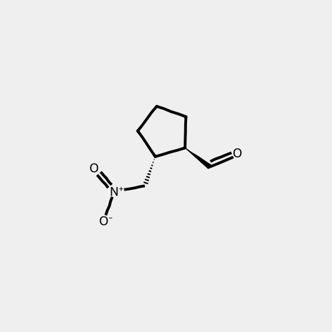 O=C[C@@H]1CCC[C@H]1C[N+](=O)[O-]